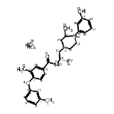 Cc1cccc(Oc2ccc(C(=O)N[C@H](CN3CCN(c4cccc(O)c4)C(C)C3)C(C)C)cc2C)c1.Cl.Cl